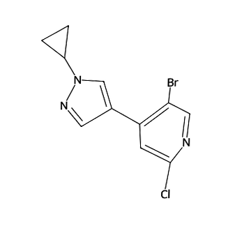 Clc1cc(-c2cnn(C3CC3)c2)c(Br)cn1